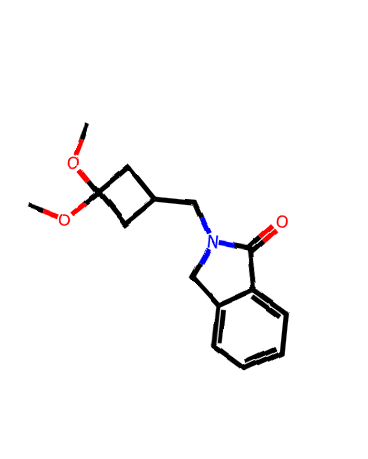 COC1(OC)CC(CN2Cc3ccccc3C2=O)C1